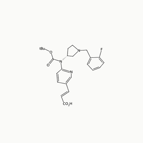 CC(C)(C)OC(=O)N(c1ccc(C=CC(=O)O)cn1)[C@@H]1CCN(Cc2ccccc2F)C1